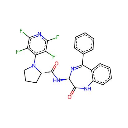 O=C1Nc2ccccc2C(c2ccccc2)=N[C@@H]1NC(=O)[C@@H]1CCCN1c1c(F)c(F)nc(F)c1F